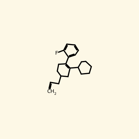 C=CCC1CCC(c2ccccc2F)=C(C2CCCCC2)C1